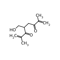 C=C(C)C(=O)CC(CO)C(=O)C(=C)C